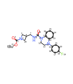 CC(C)(C)OC(=O)N1CC(CNC(=O)N2CCN(c3ccc(F)cc3)c3ccccc32)C1